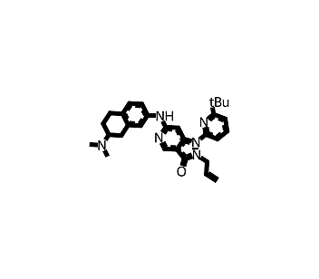 C=CCn1c(=O)c2cnc(Nc3ccc4c(c3)CC(N(C)C)CC4)cc2n1-c1cccc(C(C)(C)C)n1